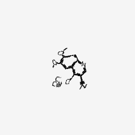 COc1cc2ncc(C#N)c(Cl)c2cc1OC.[C-]#N.[Cu+]